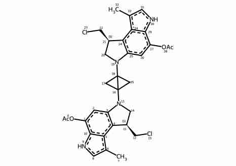 CC(=O)Oc1cc2c(c3c(C)c[nH]c13)[C@H](CCl)CN2C12CC1(N1C[C@@H](CCl)c3c1cc(OC(C)=O)c1[nH]cc(C)c31)C2